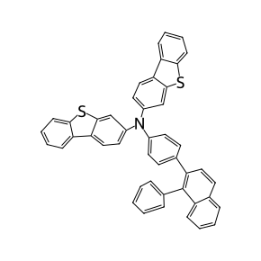 c1ccc(-c2c(-c3ccc(N(c4ccc5c(c4)sc4ccccc45)c4ccc5c(c4)sc4ccccc45)cc3)ccc3ccccc23)cc1